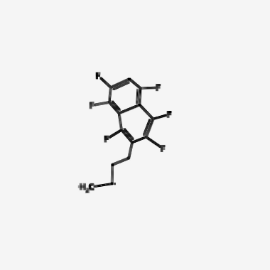 [CH2][CH]CCc1c(F)c(F)c2c(F)cc(F)c(F)c2c1F